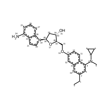 CCc1cc(N(C)C2CC2)c2ccc(OC[C@H]3O[C@@H](n4ccc5c(N)ncnc54)C[C@@H]3O)cc2n1